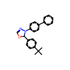 CC(C)(C)c1ccc(C2OC=NN2c2ccc(-c3ccccc3)cc2)cc1